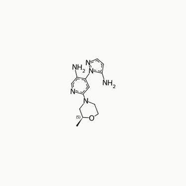 C[C@H]1CN(c2cc(-n3nccc3N)c(N)cn2)CCO1